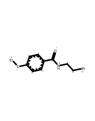 CCOc1ccc(C(=O)NCCC(C)C)cc1